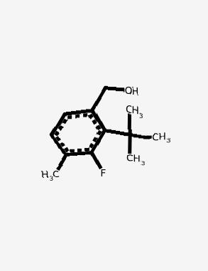 Cc1ccc(CO)c(C(C)(C)C)c1F